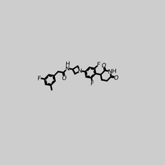 Cc1cc(F)cc(CC(=O)NC2CN(c3cc(F)c(C4CCC(=O)NC4=O)c(F)c3)C2)c1